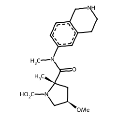 CO[C@H]1CN(C(=O)O)[C@](C)(C(=O)N(C)c2ccc3c(c2)CCNC3)C1